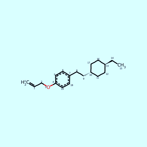 C=CCOc1ccc(CC[C@H]2CC[C@H](CC)CC2)cc1